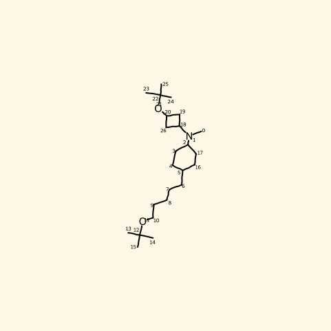 CN(C1CCC(CCCCCOC(C)(C)C)CC1)C1CC(OC(C)(C)C)C1